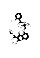 CCOC(=O)c1c(C)nc2cccc(OCC(C)(C)NC(=O)c3ccccc3O)c2c1N